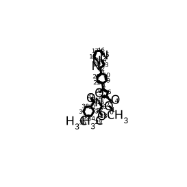 CCOC(=O)c1cc(-c2ccc(-c3cc4ncccn4n3)cc2)oc1N(CCOC)C(=O)C1CCC(C)CC1